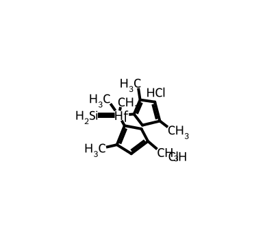 CC1=CC(C)=[C]([Hf]([CH3])([CH3])(=[SiH2])[C]2=C(C)C=C(C)C2)C1.Cl.Cl